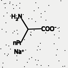 CCCC(N)C(=O)[O-].[Na+]